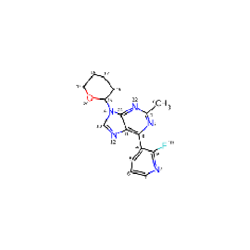 Cc1nc(-c2cccnc2F)c2ncn(C3CCCCO3)c2n1